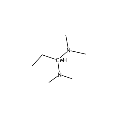 C[CH2][GeH]([N](C)C)[N](C)C